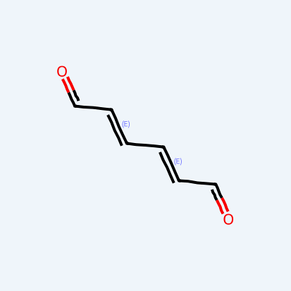 O=C/C=C/C=C/C=O